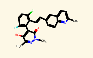 Cc1ccc2cc(/C=C/c3c(Cl)ccc(F)c3-c3c(O)c(C)nn(C)c3=O)ccc2n1